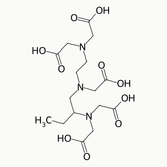 CCC(CN(CCN(CC(=O)O)CC(=O)O)CC(=O)O)N(CC(=O)O)CC(=O)O